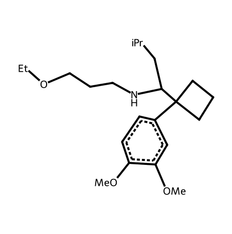 CCOCCCNC(CC(C)C)C1(c2ccc(OC)c(OC)c2)CCC1